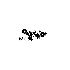 COC(=O)C1CN(C2CCCCC2)CCC1NC(=O)c1cn(-c2ccc(F)cc2F)nn1